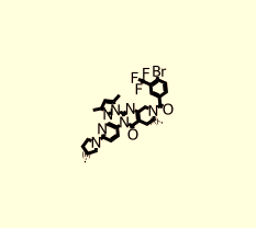 Cc1cc(C)n(-c2nc3c(c(=O)n2-c2ccc(N4CC[C@@H](C)C4)nc2)C[C@@H](C)N(C(=O)c2ccc(Br)c(C(F)(F)F)c2)C3)n1